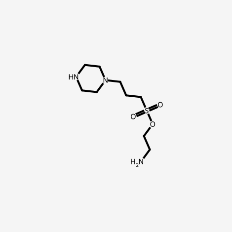 NCCOS(=O)(=O)CCCN1CCNCC1